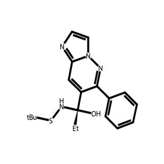 CC[C@@](O)(NSC(C)(C)C)c1cc2nccn2nc1-c1ccccc1